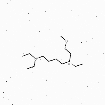 CC[C@H](CCCCN(CC)CC)CCOC